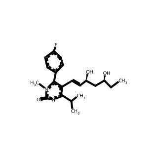 CC[C@H](O)C[C@H](O)/C=C/c1c(C(C)C)nc(=O)n(C)c1-c1ccc(F)cc1